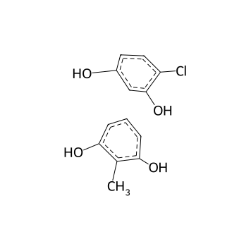 Cc1c(O)cccc1O.Oc1ccc(Cl)c(O)c1